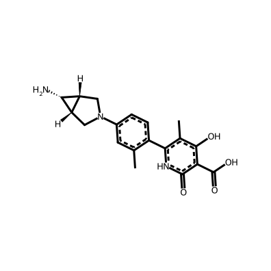 Cc1cc(N2C[C@@H]3[C@H](N)[C@@H]3C2)ccc1-c1[nH]c(=O)c(C(=O)O)c(O)c1C